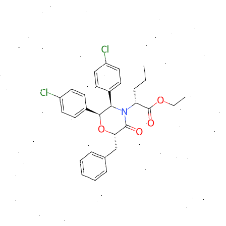 CCC[C@H](C(=O)OCC)N1C(=O)[C@H](Cc2ccccc2)O[C@@H](c2ccc(Cl)cc2)[C@H]1c1ccc(Cl)cc1